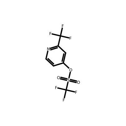 O=S(=O)(Oc1ccnc(C(F)(F)F)c1)C(F)(F)F